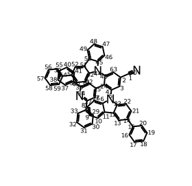 N#Cc1cc(-n2c3ccccc3c3cc(-c4ccccc4)ccc32)c(-c2cc(-c3ccccc3)nc(-c3ccccc3)c2)c(-n2c3ccccc3c3cc(-c4ccccc4)ccc32)c1